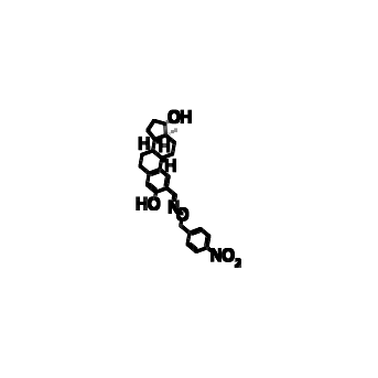 C[C@]12CC[C@@H]3c4cc(C=NOCc5ccc([N+](=O)[O-])cc5)c(O)cc4CC[C@H]3[C@@H]1CC[C@@H]2O